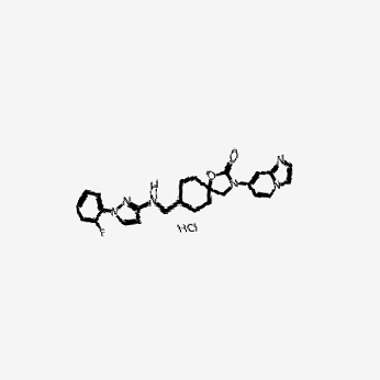 Cl.O=C1OC2(CCC(CNc3ccn(-c4ccccc4F)n3)CC2)CN1c1ccn2ccnc2c1